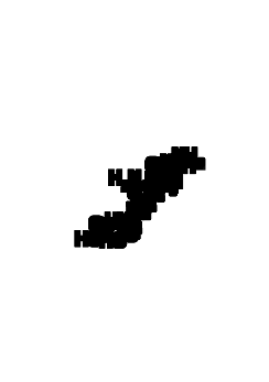 NC(=O)C(N)N(Cc1cnc2[nH]c(N)nc(=O)c2n1)c1ccc(C(=O)N[C@@H](CCC(=O)O)C(=O)O)cc1